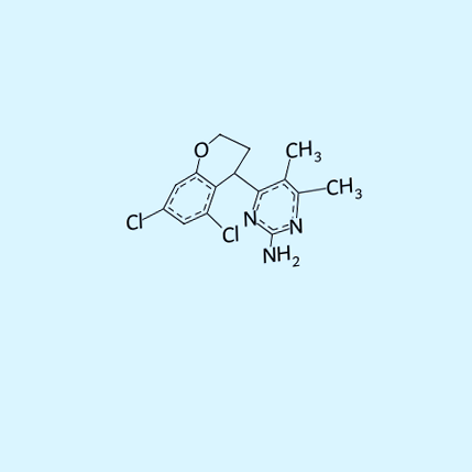 Cc1nc(N)nc(C2CCOc3cc(Cl)cc(Cl)c32)c1C